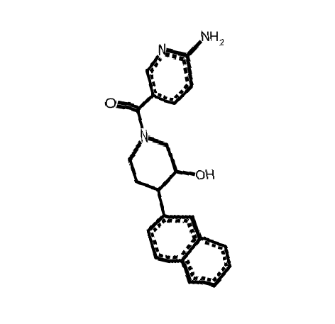 Nc1ccc(C(=O)N2CCC(c3ccc4ccccc4c3)C(O)C2)cn1